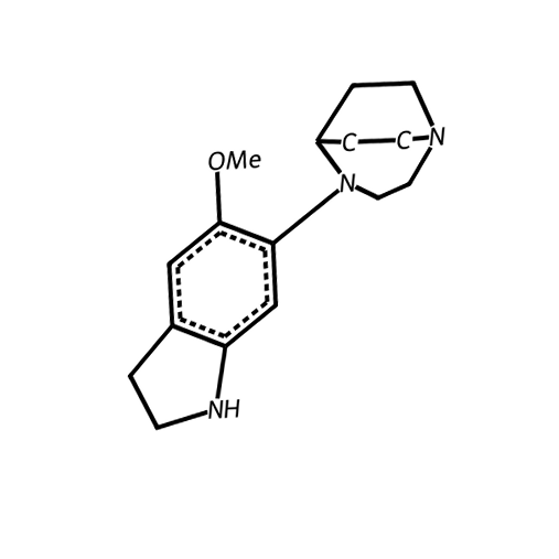 COc1cc2c(cc1N1CCN3CCC1CC3)NCC2